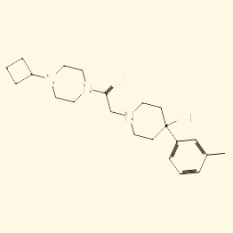 Cc1cccc(C2(O)CCN(CC(=O)N3CCN(C4CCC4)CC3)CC2)c1